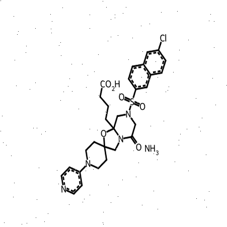 N.O=C(O)CCCC12CN(S(=O)(=O)c3ccc4cc(Cl)ccc4c3)CC(=O)N1CC1(CCN(c3ccncc3)CC1)O2